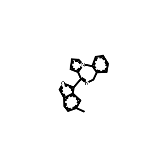 Cc1ccc2coc(C3=NCc4ccccc4-n4cccc43)c2c1